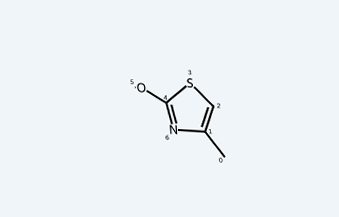 Cc1csc([O])n1